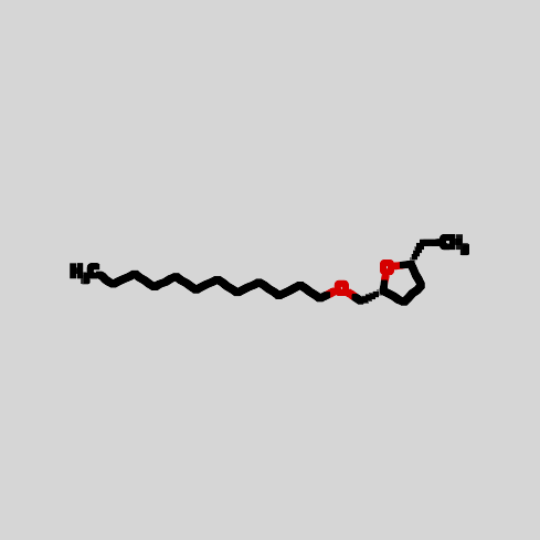 CCCCCCCCCCCCOC[C@H]1CC[C@@H](CC)O1